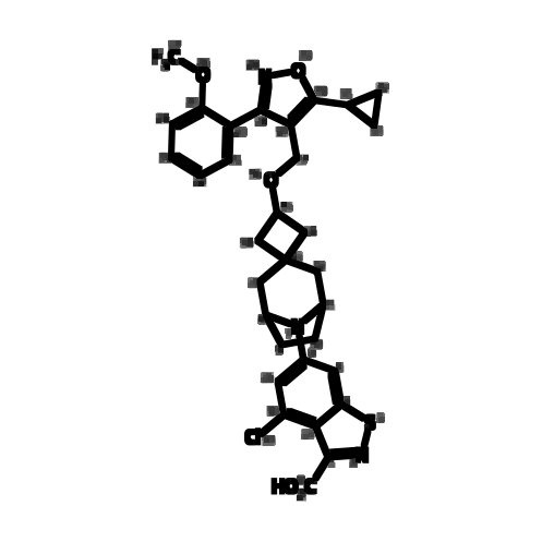 O=C(O)c1nsc2cc(N3C4CCC3CC3(CC(OCc5c(-c6ccccc6OC(F)(F)F)noc5C5CC5)C3)C4)cc(Cl)c12